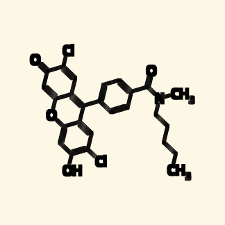 CCCCCN(C)C(=O)c1ccc(-c2c3cc(Cl)c(=O)cc-3oc3cc(O)c(Cl)cc23)cc1